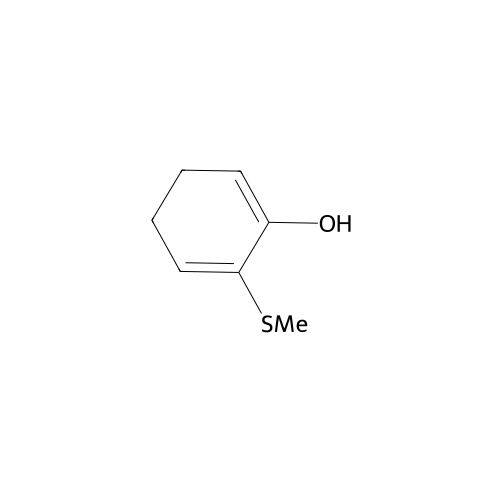 CSC1=CCCC=C1O